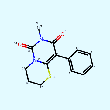 CCCn1c(=O)c(-c2ccccc2)c2n(c1=O)CCCS2